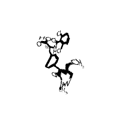 CCc1cnn(C)c(=O)c1-c1ccc(C[C@H](NC(=O)c2c(Cl)cccc2Cl)C(=O)O)cc1